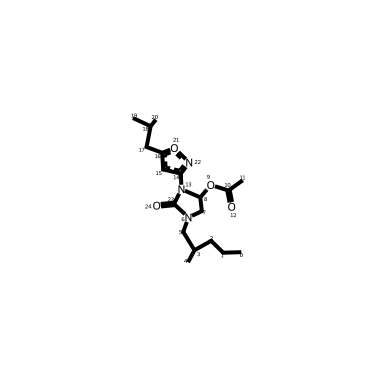 CCCC(C)CN1CC(OC(C)=O)N(c2cc(CC(C)C)on2)C1=O